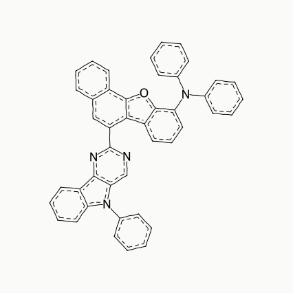 c1ccc(N(c2ccccc2)c2cccc3c2oc2c4ccccc4cc(-c4ncc5c(n4)c4ccccc4n5-c4ccccc4)c32)cc1